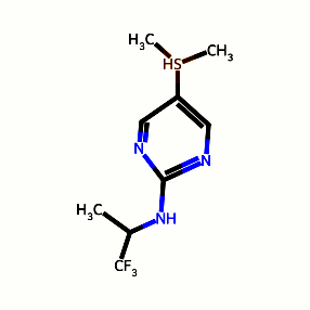 CC(Nc1ncc([SH](C)C)cn1)C(F)(F)F